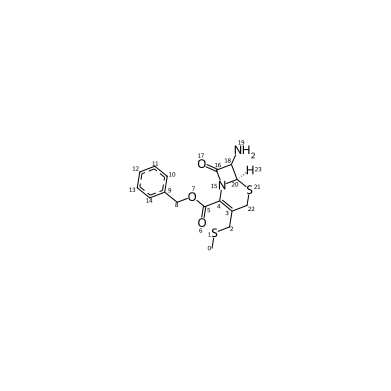 CSCC1=C(C(=O)OCc2ccccc2)N2C(=O)C(N)[C@H]2SC1